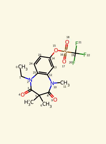 CCN1C(=O)C(C)(C)C(=O)N(C)c2cc(OS(=O)(=O)C(F)(F)F)ccc21